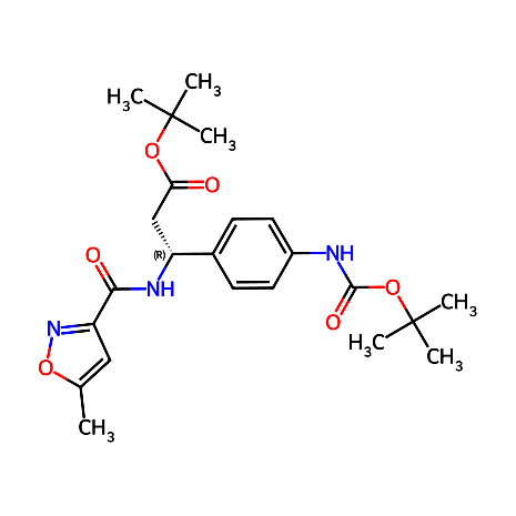 Cc1cc(C(=O)N[C@H](CC(=O)OC(C)(C)C)c2ccc(NC(=O)OC(C)(C)C)cc2)no1